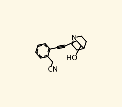 N#CCc1ccccc1C#CC1C(O)C2CCN1CC2